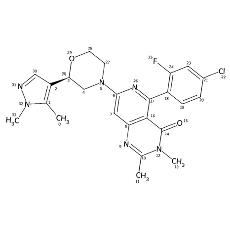 Cc1c([C@@H]2CN(c3cc4nc(C)n(C)c(=O)c4c(-c4ccc(Cl)cc4F)n3)CCO2)cnn1C